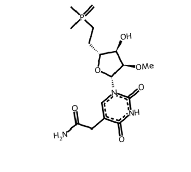 C=P(C)(C)CC[C@H]1O[C@@H](n2cc(CC(N)=O)c(=O)[nH]c2=O)[C@H](OC)[C@@H]1O